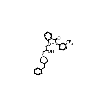 O=C(Nc1cccc(C(F)(F)F)c1)c1ccccc1OCC(O)CN1CCC(Cc2ccccc2)CC1